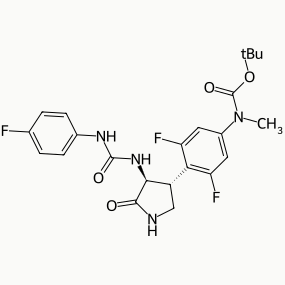 CN(C(=O)OC(C)(C)C)c1cc(F)c([C@@H]2CNC(=O)[C@H]2NC(=O)Nc2ccc(F)cc2)c(F)c1